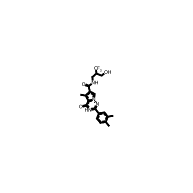 Cc1ccc(-c2nn3cc(C(=O)NCC(CO)C(F)(F)F)c(C)c3c(=O)[nH]2)cc1C